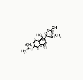 CC(C)Oc1ccc2c(O)c(C(=O)N[C@@H](C)C(=O)O)nc(Cl)c2c1